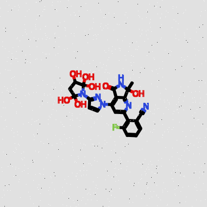 CC1(O)NC(=O)c2c(-n3ccc(N4C(O)(O)CC(O)C4(O)O)n3)cc(-c3c(F)cccc3C#N)nc21